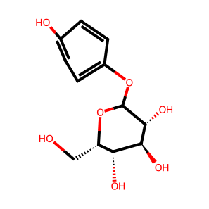 OC[C@@H]1OC(Oc2ccc(O)cc2)[C@H](O)[C@@H](O)[C@@H]1O